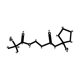 CCC1(CC(=O)CCOC(=O)C(C)(C)CC)CCCC1